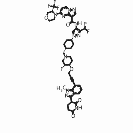 Cn1nc(C2CCC(=O)NC2=O)c2cccc(C#CCO[C@@H]3CCN(C[C@H]4CC[C@H](n5cc(NC(=O)c6cnn7ccc(N8CCOC[C@H]8C(F)(F)F)nc67)c(C(F)F)n5)CC4)C[C@@H]3F)c21